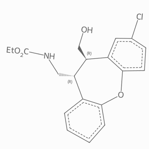 CCOC(=O)NC[C@H]1c2ccccc2Oc2ccc(Cl)cc2[C@@H]1CO